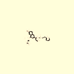 COc1ccc2cc(-c3ccnc(NCCc4ccccn4)n3)cc(NC(=O)OC(C)(C)C)c2c1